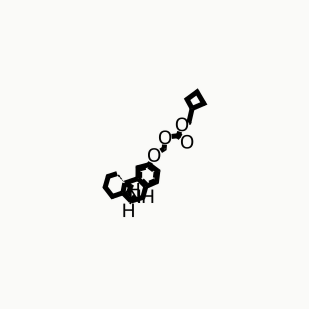 O=C(OCOc1ccc2c(c1)[C@]13CCCC[C@@H]1[C@H](C2)NCC3)OCC1CCC1